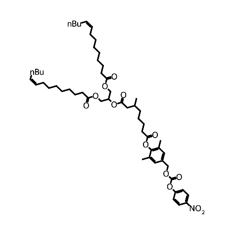 CCCC/C=C\CCCCCCCC(=O)OCC(COC(=O)CCCCCCC/C=C\CCCC)OC(=O)CC(C)CCCCC(=O)Oc1c(C)cc(COC(=O)Oc2ccc([N+](=O)[O-])cc2)cc1C